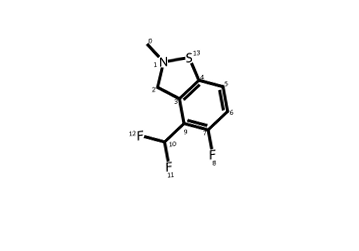 CN1Cc2c(ccc(F)c2C(F)F)S1